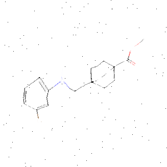 COC(=O)C12CCC(CNc3cccc(Br)c3)(CC1)CC2